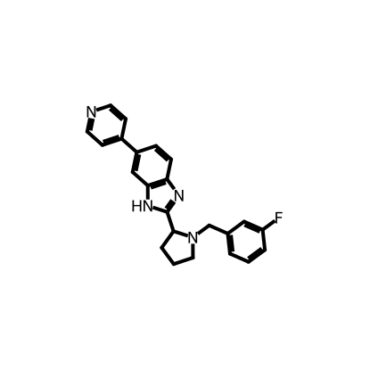 Fc1cccc(CN2CCCC2c2nc3ccc(-c4ccncc4)cc3[nH]2)c1